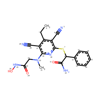 CCc1c(C#N)c(SC(C(N)=O)c2ccccc2)nc(N(C)CC(=O)NO)c1C#N